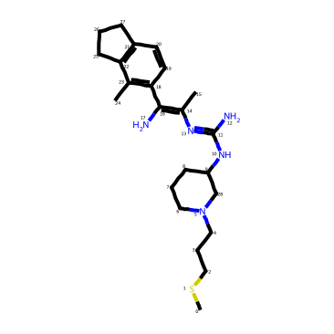 CSCCCN1CCCC(N/C(N)=N/C(C)=C(\N)c2ccc3c(c2C)CCC3)C1